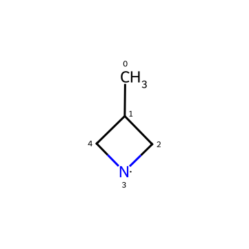 CC1C[N]C1